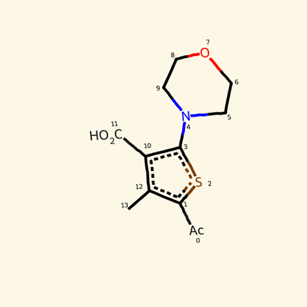 CC(=O)c1sc(N2CCOCC2)c(C(=O)O)c1C